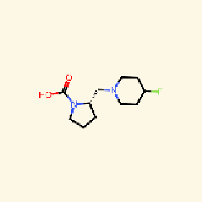 O=C(O)N1CCC[C@H]1CN1CCC(F)CC1